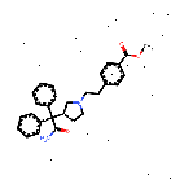 COC(=O)c1ccc(CCN2CCC(C(C(N)=O)(c3ccccc3)c3ccccc3)C2)cc1